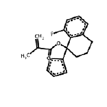 C=C(C)C(=O)OC1(c2cccs2)CCCc2cccc(F)c21